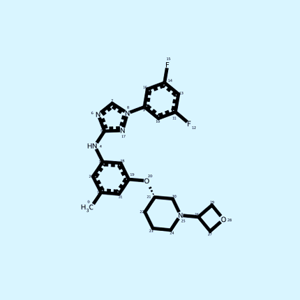 Cc1cc(Nc2ncn(-c3cc(F)cc(F)c3)n2)cc(O[C@H]2CCCN(C3COC3)C2)c1